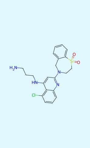 NCCCNc1cc(N2CCS(=O)(=O)c3ccccc3C2)nc2cccc(Cl)c12